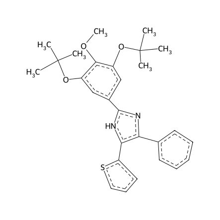 COc1c(OC(C)(C)C)cc(-c2nc(-c3ccccc3)c(-c3cccs3)[nH]2)cc1OC(C)(C)C